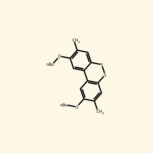 CCCCOc1cc2c(cc1C)SSc1cc(C)c(OCCCC)cc1-2